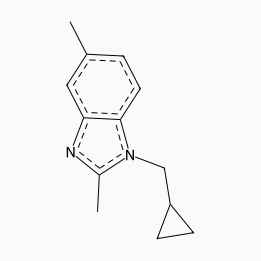 Cc1ccc2c(c1)nc(C)n2CC1CC1